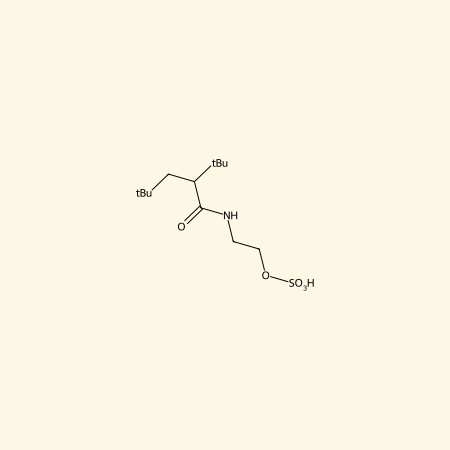 CC(C)(C)CC(C(=O)NCCOS(=O)(=O)O)C(C)(C)C